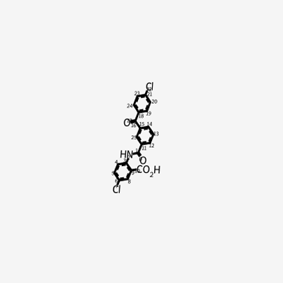 O=C(Nc1ccc(Cl)cc1C(=O)O)c1cccc(C(=O)c2ccc(Cl)cc2)c1